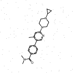 Cc1cc(N2CCN(C3CC3)CC2)ncc1-c1ccc(C(=O)N(C)C)cc1